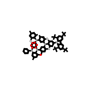 Cc1cc(C)c2c(c1)Oc1ccccc1B2c1cc2c(cc1C)Oc1cc(-n3c4c(C(C)(C)C)cc(C(C)(C)C)cc4c4cc(C(C)(C)C)cc(C(C)(C)C)c43)cc3c1B2c1cc(B2c4ccccc4N(c4ccccc4)c4cc(C)cc(C)c42)c(C)cc1O3